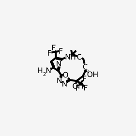 CC1(C)CCC[C@H](O)C[C@](O)(C(F)(F)F)c2nnc(o2)-c2nc(c(C(F)(F)F)cc2N)N1